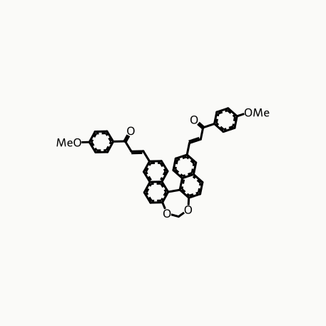 COc1ccc(C(=O)/C=C/c2ccc3c4c(ccc3c2)OCOc2ccc3cc(/C=C/C(=O)c5ccc(OC)cc5)ccc3c2-4)cc1